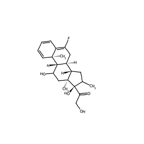 CC1C[C@H]2[C@@H]3CC(F)=C4C=CC=C[C@]4(C)[C@H]3C(O)C[C@]2(C)[C@@]1(O)C(=O)CO